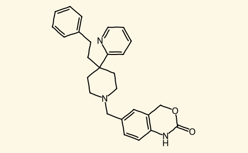 O=C1Nc2ccc(CN3CCC(CCc4ccccc4)(c4ccccn4)CC3)cc2CO1